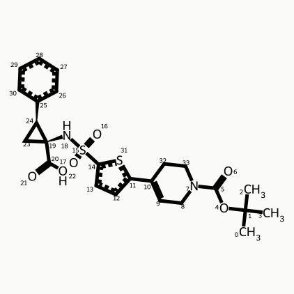 CC(C)(C)OC(=O)N1CC=C(c2ccc(S(=O)(=O)N[C@@]3(C(=O)O)C[C@H]3c3ccccc3)s2)CC1